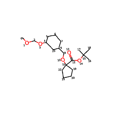 COCOC1CCCC(COC2(C(=O)OC(C)(C)C)CCCC2)C1